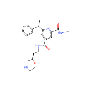 CNC(=O)c1cc(C(=O)NCC[C@@H]2CNCCO2)cc(C(C)c2ccccc2)n1